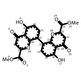 COC(=O)c1cc(=O)c2c(O)ccc(-c3ccc(O)c4c(=O)cc(C(=O)OC)oc34)c2o1